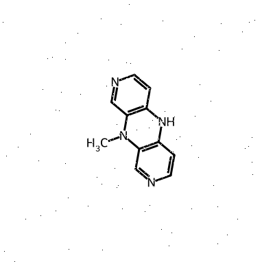 CN1c2cnccc2Nc2ccncc21